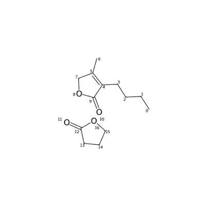 CCCCC1=C(C)COC1=O.O=C1CCCO1